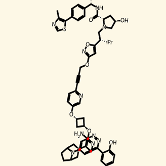 Cc1ncsc1-c1ccc([C@H](C)NC(=O)[C@@H]2C[C@@H](O)CN2C[C@@H](c2cc(OCC#Cc3ccc(O[C@H]4C[C@H](Oc5cc(N6C7CCC6CN(c6cc(-c8ccccc8O)nnc6N)C7)ccn5)C4)cn3)no2)C(C)C)cc1